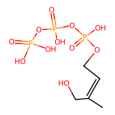 CC(=CCOP(=O)(O)OP(=O)(O)OP(=O)(O)O)CO